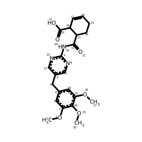 COc1cc(Cc2cnc(NC(=O)C3CCC=CC3C(=O)O)nc2)cc(OC)c1OC